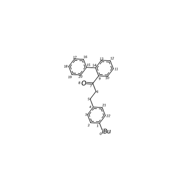 CCC(C)c1ccc(CCC(=O)c2ccccc2-c2ccccc2)cc1